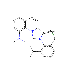 CC(C)c1cccc(C(C)C)c1N1CN2c3c(cccc3N(C)C)C=CC2[C]1=[Au-2][Cl]